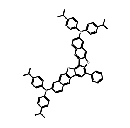 CC(C)c1ccc(N(c2ccc(C(C)C)cc2)c2ccc3cc4c(cc3c2)oc2c4cc(-c3ccccc3)c3oc4cc5cc(N(c6ccc(C(C)C)cc6)c6ccc(C(C)C)cc6)ccc5cc4c32)cc1